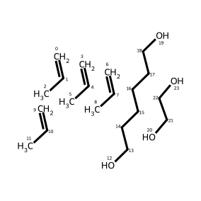 C=CC.C=CC.C=CC.C=CC.OCCCCCCO.OCCO